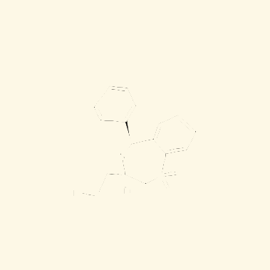 CCOC[C@]1(CC)CS(=O)(=O)c2ccccc2[C@H](c2ccccc2)N1.Cl